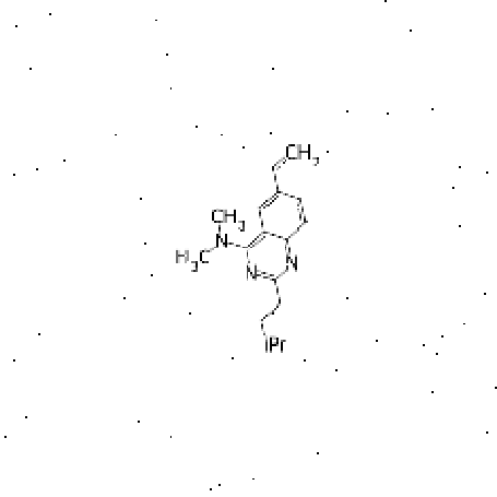 C=Cc1ccc2nc(CCC(C)C)nc(N(C)C)c2c1